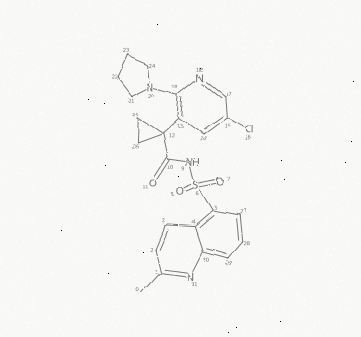 Cc1ccc2c(S(=O)(=O)NC(=O)C3(c4cc(Cl)cnc4N4CCCC4)CC3)cccc2n1